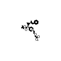 COC(=O)COCCN1CCC(N(C(=O)OC(C)(C)C)[C@@H]2C[C@H]2C(C)=Cc2ccccc2)CC1